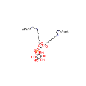 CCCCC/C=C\C/C=C\CCCCCCCC(=O)OC[C@H](COP(=O)(O)OC1[C@H](O)[C@H](O)C(O)[C@H](O)[C@H]1O)OC(=O)CCCCCCC/C=C\C/C=C\CCCCC